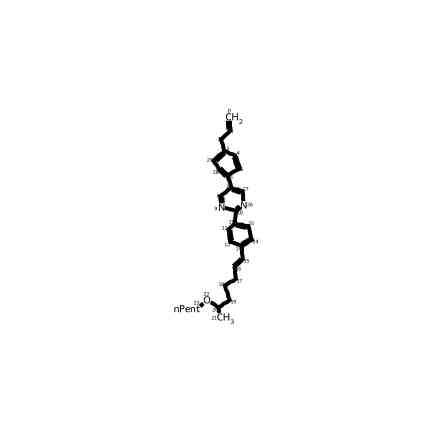 C=CCc1ccc(-c2cnc(-c3ccc(/C=C/CCCC(C)OCCCCC)cc3)nc2)cc1